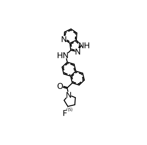 O=C(c1cccc2cc(Nc3n[nH]c4cccnc34)ccc12)N1CC[C@H](F)C1